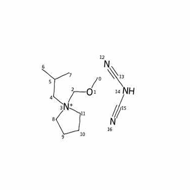 COC[N+]1(CC(C)C)CCCC1.N#CNC#N